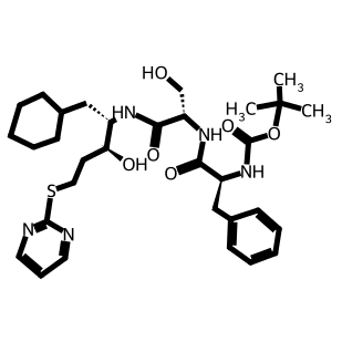 CC(C)(C)OC(=O)N[C@@H](Cc1ccccc1)C(=O)N[C@@H](CO)C(=O)N[C@@H](CC1CCCCC1)[C@@H](O)CCSc1ncccn1